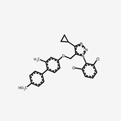 Cc1cc(OCc2c(C3CC3)nnn2-c2c(Cl)cccc2Cl)ccc1-c1ccc(C(=O)O)cc1